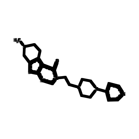 CN1CCc2c(sc3ncn(CCN4CCN(c5ccncc5)CC4)c(=O)c23)C1